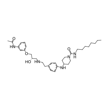 CCCCCCCCNC(=O)N1CCC(Nc2ccc(CCNC[C@H](O)COc3cccc(NC(C)=O)c3)cc2)CC1